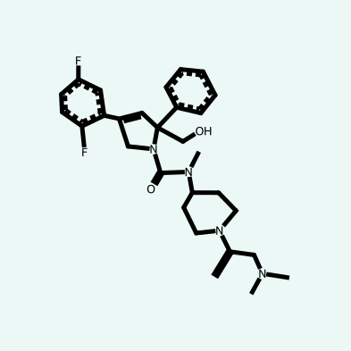 C=C(CN(C)C)N1CCC(N(C)C(=O)N2CC(c3cc(F)ccc3F)=CC2(CO)c2ccccc2)CC1